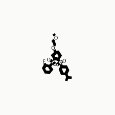 COCCOc1ccc(S(=O)(=O)c2ccc(C(C)C)cc2)c(S(=O)(=O)c2ccccc2F)c1